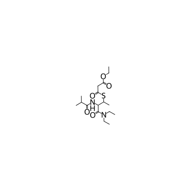 CCOC(=O)CC(=O)SC(C)C(NC(=O)C(C)C)C(=O)N(CC)CC